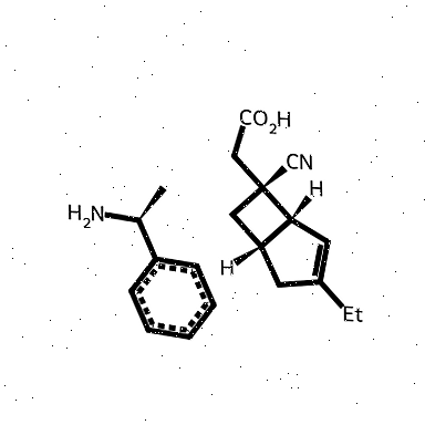 CCC1=C[C@@H]2[C@H](C1)C[C@]2(C#N)CC(=O)O.C[C@H](N)c1ccccc1